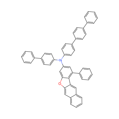 c1ccc(-c2ccc(-c3ccc(N(c4ccc(-c5ccccc5)cc4)c4cc(-c5ccccc5)c5c(c4)oc4cc6ccccc6cc45)cc3)cc2)cc1